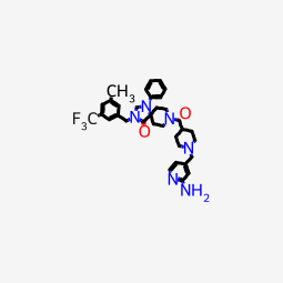 Cc1cc(CN2CN(c3ccccc3)C3(CCN(C(=O)C4CCN(Cc5ccnc(N)c5)CC4)CC3)C2=O)cc(C(F)(F)F)c1